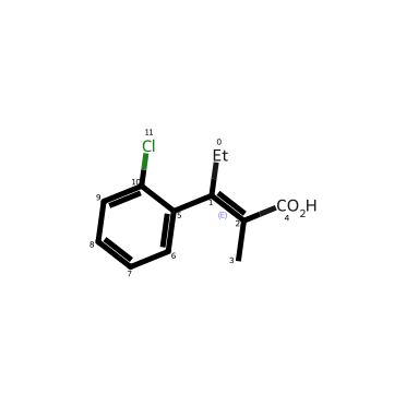 CC/C(=C(/C)C(=O)O)c1ccccc1Cl